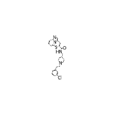 O=C(NCC1CCN(CCc2cccc(Cl)c2)CC1)C1=Cc2cnc3cccc(n23)S1